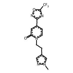 Cn1cc(CCn2ccc(-c3noc(C(F)(F)F)n3)cc2=O)cn1